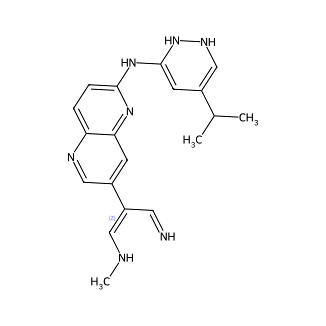 CN/C=C(\C=N)c1cnc2ccc(NC3=CC(C(C)C)=CNN3)nc2c1